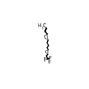 CCCCOCCCCCOCCC(F)(F)F